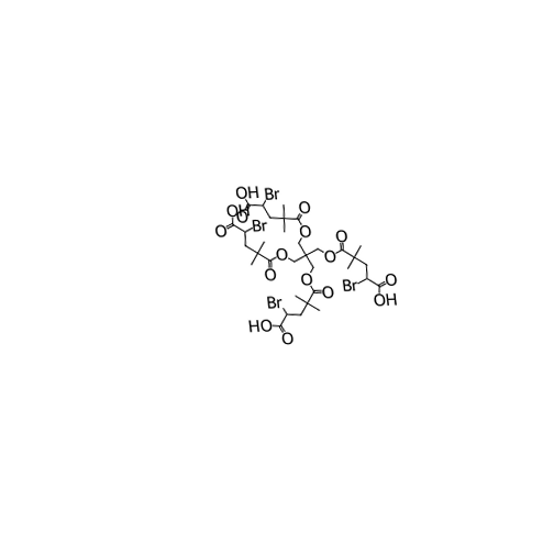 CC(C)(CC(Br)C(=O)O)C(=O)OCC(COC(=O)C(C)(C)CC(Br)C(=O)O)(COC(=O)C(C)(C)CC(Br)C(=O)O)COC(=O)C(C)(C)CC(Br)C(=O)O